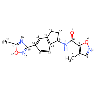 Cc1cnoc1C(=O)NC1CCc2cc(-c3noc(C(C)C)n3)ccc21